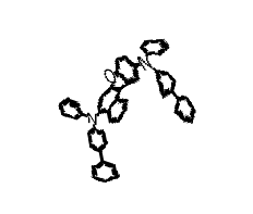 c1ccc(-c2ccc(N(c3ccccc3)c3ccc4oc5cc(N(c6ccccc6)c6ccc(-c7ccccc7)cc6)c6ccccc6c5c4c3)cc2)cc1